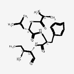 CC[C@H](C)[C@@H]([C]=O)NC(=O)[C@H](Cc1ccccc1)NC(=O)[C@H](CC(C)C)NC(=O)[C@H](C)N